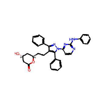 O=C1C[C@H](O)C[C@@H](CCc2c(-c3ccccc3)nn(-c3ccnc(Nc4ccccc4)n3)c2-c2ccccc2)O1